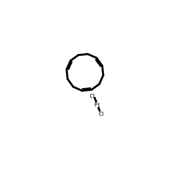 C1=CCCC=CCCC=CCC1.[Cl][Pt][Cl]